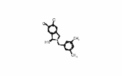 Cc1cc(C)cc(CN2Cc3cc(Cl)c(Cl)cc3C2=N)c1